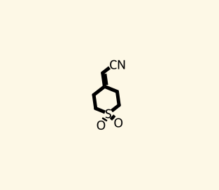 N#CC=C1CCS(=O)(=O)CC1